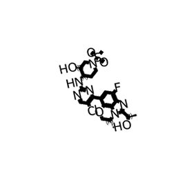 C[C@@H]1COc2c(-c3nc(N[C@@H]4CCN(S(C)(=O)=O)C[C@H]4O)ncc3Cl)cc(F)c3nc([C@@H](C)O)n1c23